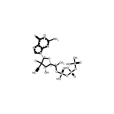 C#CC1(Cl)[C@@H](O)[C@@H]([C@@H](C)OP(=O)(O)OP(=O)(O)OP(=O)(O)O)O[C@H]1n1cnc2c(=S)[nH]c(N)nc21